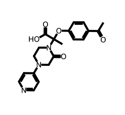 CC(=O)c1ccc(OC(C)(C(=O)O)N2CCN(c3ccncc3)CC2=O)cc1